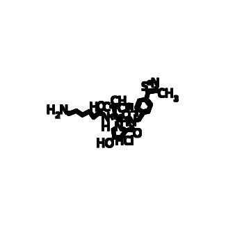 Cc1ncsc1-c1ccc(CNC(=O)C2CC(O)CN2C(=O)[C@@H](NC(=O)CCCCCN)C(C)(C)C)cc1.Cl